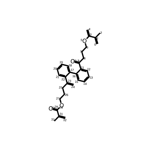 C=C(C)C(=C)OCCCC(=O)c1ccccc1-c1ccccc1C(=C)CCCOC(=O)C(=C)C